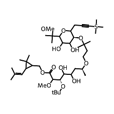 COC(C(=O)OCC1C(C=C(C)C)C1(C)C)[C@@H](OC(C)(C)C)C(O)C(O)C[C@H](C)OCCC(C)(C)O[C@@H]1C(CC#CS(C)(C)C)OC(C(C)(C)OC)C(O)C1O